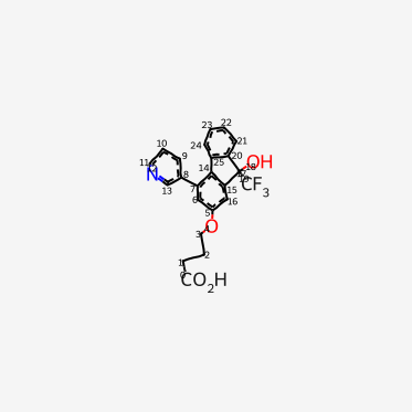 O=C(O)CCCOc1cc(-c2cccnc2)c2c(c1)C(O)(C(F)(F)F)c1ccccc1-2